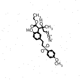 CCOC(=O)C(c1cc(CCS(=O)(=O)c2ccc(OC)cc2)ccc1O)C(C)(O)CN=[N+]=[N-]